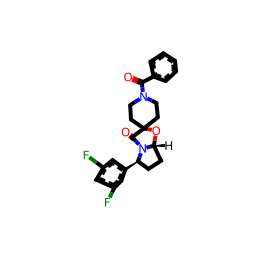 O=C(c1ccccc1)N1CCC2(CC1)O[C@@H]1CC[C@@H](c3cc(F)cc(F)c3)N1C2=O